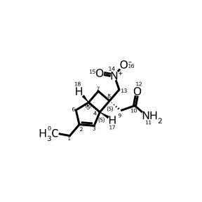 CCC1=C[C@@H]2[C@H](C1)C[C@@]2(CC(N)=O)C[N+](=O)[O-]